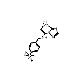 FS(F)(F)(F)(F)c1ccc(CNC2=CNNc3ncnn32)cc1